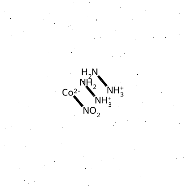 N[NH3+].N[NH3+].O=[N+]([O-])[Co-2]